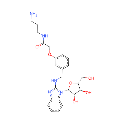 NCCCNC(=O)COc1cccc(CNc2nc3ccccc3n2[C@@H]2O[C@H](CO)[C@@H](O)[C@H]2O)c1